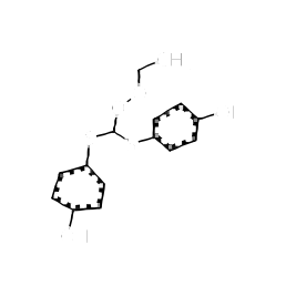 CCOOC(Sc1ccc(O)cc1)Sc1ccc(O)cc1